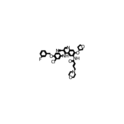 N#Cc1cnc2cc(O[C@H]3CCOC3)c(NC(=O)C=CCN3CCOCC3)cc2c1Nc1ccc(OCc2cccc(F)c2)c(Cl)c1